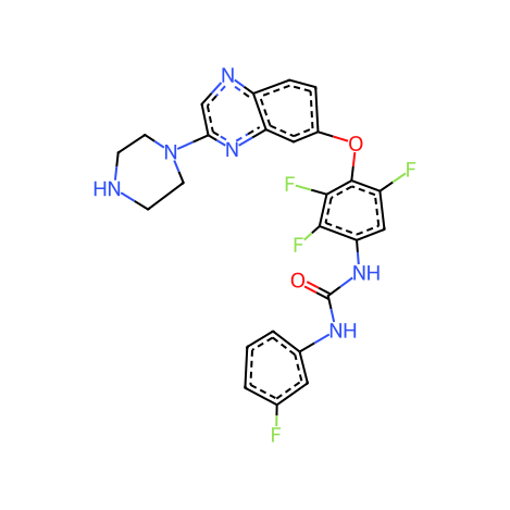 O=C(Nc1cccc(F)c1)Nc1cc(F)c(Oc2ccc3ncc(N4CCNCC4)nc3c2)c(F)c1F